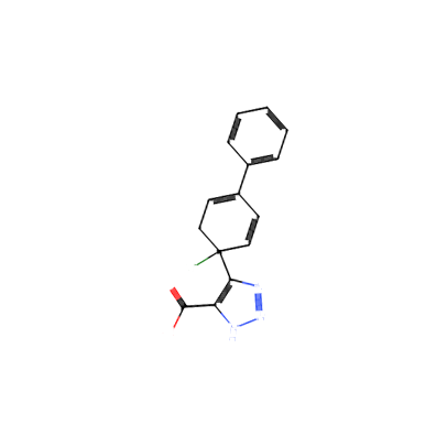 O=C(O)c1[nH]nnc1C1(Cl)C=CC(c2ccccc2)=CC1